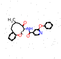 CC1CCc2ccccc2OC[C@H](NC(=O)c2ccnc(Oc3ccccc3)c2)C(=O)C1